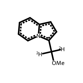 [2H]C([2H])(OC)c1ccc2ccccn12